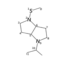 CSN1CCC2C1CCN2C(C)C